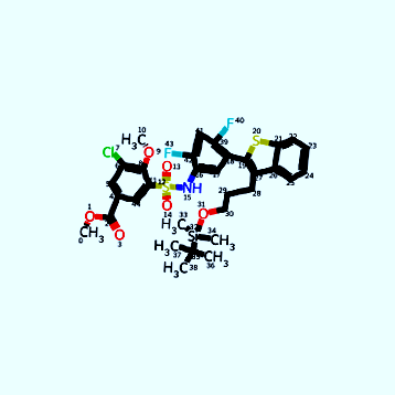 COC(=O)c1cc(Cl)c(OC)c(S(=O)(=O)Nc2cc(-c3sc4ccccc4c3CCCO[Si](C)(C)C(C)(C)C)c(F)cc2F)c1